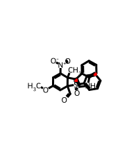 COC1=CC(C=O)(S(=O)(=O)c2ccccc2)C(C)(c2c[nH]c3ccccc23)C([N+](=O)[O-])=C1